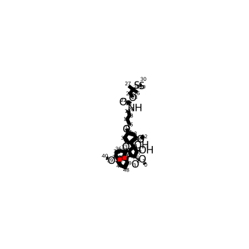 COC(=O)[C@H]1[C@@H](O)[C@@]2(O)c3c(OC)cc(OCCCCNC(=O)OCC(C)(C)SSC)cc3O[C@@]2(c2ccc(OC)cc2)[C@@H]1c1ccccc1